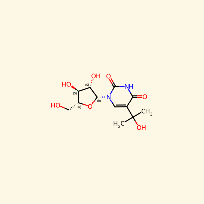 CC(C)(O)c1cn([C@@H]2O[C@H](CO)[C@@H](O)[C@@H]2O)c(=O)[nH]c1=O